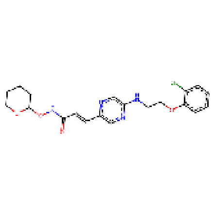 O=C(C=Cc1cnc(NCCOc2ccccc2Cl)cn1)NOC1CCCCO1